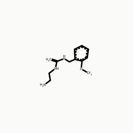 C=C(NCCN)NCc1ccccc1OC(F)(F)F